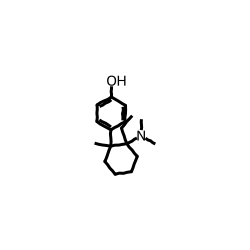 CCC1(N(C)C)CCCCC1(C)c1ccc(O)cc1